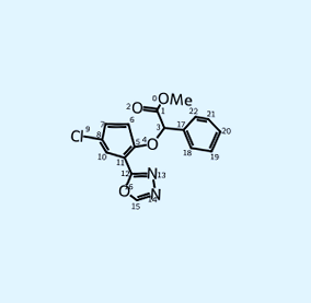 COC(=O)C(Oc1ccc(Cl)cc1-c1nnco1)c1ccccc1